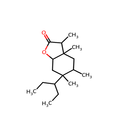 CCC(CC)C1(C)CC2OC(=O)C(C)C2(C)CC1C